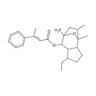 CCC1CCC2C1C(OC(=O)/C=C(\C)c1ccccc1)C1(P)CC(C)C2(C)O1